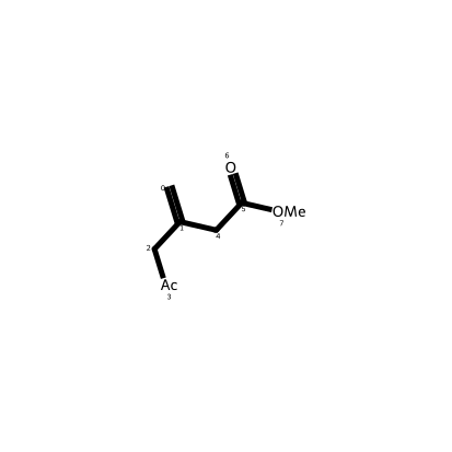 C=C(CC(C)=O)CC(=O)OC